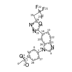 CS(=O)(=O)c1ccc(-n2cnc3ccc(-c4nnc(CC(F)(F)F)o4)cc32)cc1